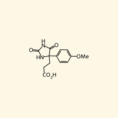 COc1ccc(C2(CCC(=O)O)NC(=O)NC2=O)cc1